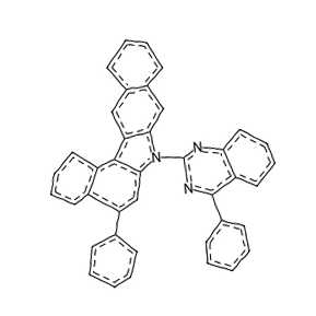 c1ccc(-c2nc(-n3c4cc5ccccc5cc4c4c5ccccc5c(-c5ccccc5)cc43)nc3ccccc23)cc1